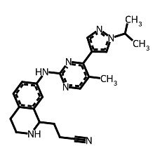 Cc1cnc(Nc2ccc3c(c2)C(CCC#N)NCC3)nc1-c1cnn(C(C)C)c1